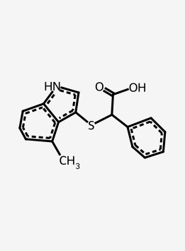 Cc1cccc2[nH]cc(SC(C(=O)O)c3ccccc3)c12